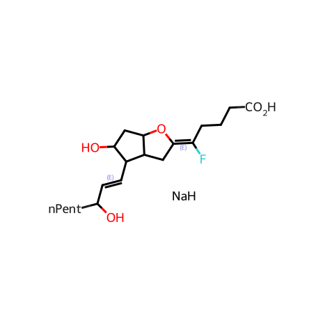 CCCCCC(O)/C=C/C1C(O)CC2O/C(=C(/F)CCCC(=O)O)CC21.[NaH]